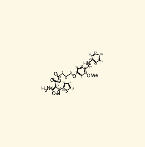 COc1cc(OCCCC(=O)OC(=O)c2c(-c3cccs3)noc2N)ccc1CNc1ccccc1